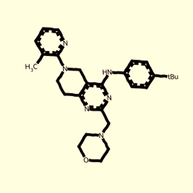 Cc1cccnc1N1CCc2nc(CN3CCOCC3)nc(Nc3ccc(C(C)(C)C)cc3)c2C1